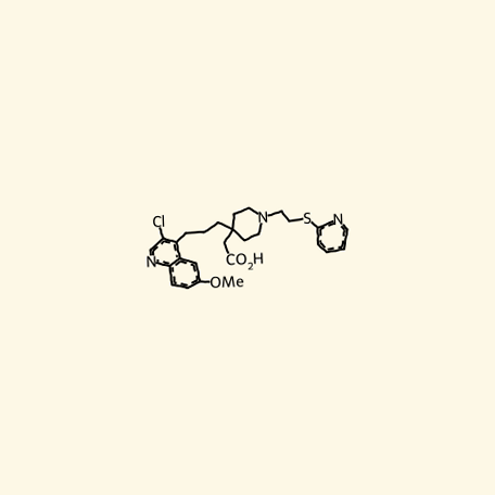 COc1ccc2ncc(Cl)c(CCCC3(CC(=O)O)CCN(CCSc4ccccn4)CC3)c2c1